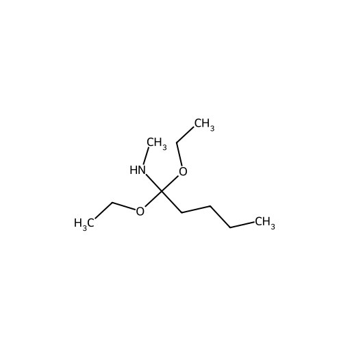 CCCCC(NC)(OCC)OCC